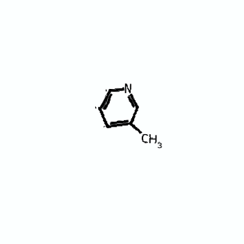 Cc1[c][c][c]nc1